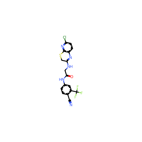 N#Cc1ccc(NC(=O)CNC2=Nc3ccc(Cl)nc3SC2)cc1C(F)(F)F